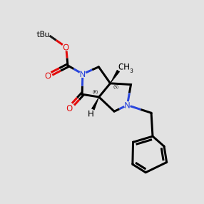 CC(C)(C)OC(=O)N1C[C@]2(C)CN(Cc3ccccc3)C[C@@H]2C1=O